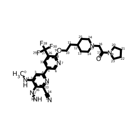 CNc1cc(-c2cnc(OCCC3CCN(CC(=O)N4CCCC4)CC3)c(C(F)(F)F)c2)nc(C#N)c1N=N